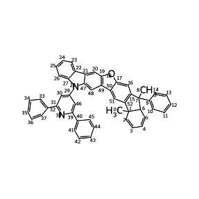 CC12C=CC=CC1C(C)(c1ccccc1)c1cc3oc4cc5c6ccccc6n(-c6cc(-c7ccccc7)nc(-c7ccccc7)c6)c5cc4c3cc12